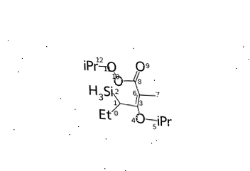 CCC([SiH3])C(OC(C)C)=C(C)C(=O)OOC(C)C